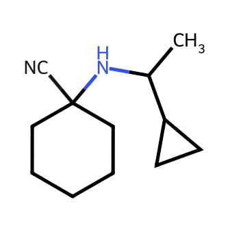 CC(NC1(C#N)CCCCC1)C1CC1